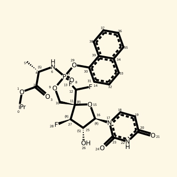 CC(C)OC(=O)[C@H](C)NP(=O)(OC[C@@]1(C(F)F)O[C@@H](n2ccc(=O)[nH]c2=O)[C@H](O)[C@H]1F)Oc1cccc2ccccc12